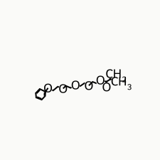 C=C(C)C(=O)OCCOCCOCCOCCOc1ccccc1